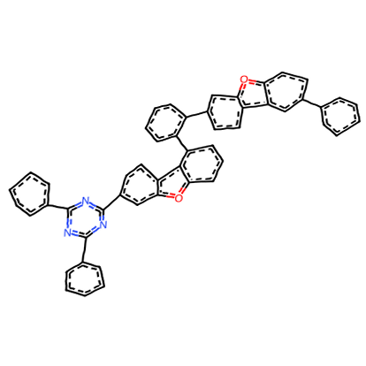 c1ccc(-c2ccc3oc4cc(-c5ccccc5-c5cccc6oc7cc(-c8nc(-c9ccccc9)nc(-c9ccccc9)n8)ccc7c56)ccc4c3c2)cc1